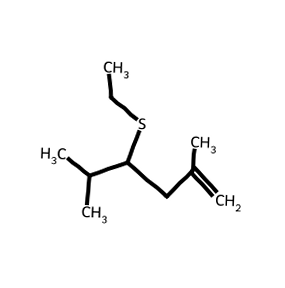 C=C(C)CC(SCC)C(C)C